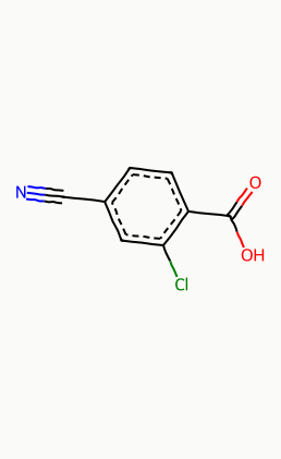 N#Cc1ccc(C(=O)O)c(Cl)c1